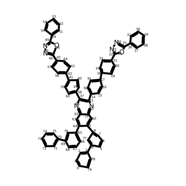 c1ccc(-c2cccc(-c3cc4nc(-c5ccc(-c6ccc(-c7nnc(-c8ccccc8)o7)cc6)cc5)c(-c5ccc(-c6ccc(-c7nnc(-c8ccccc8)o7)cc6)cc5)nc4cc3-c3cccc(-c4ccccc4)c3)c2)cc1